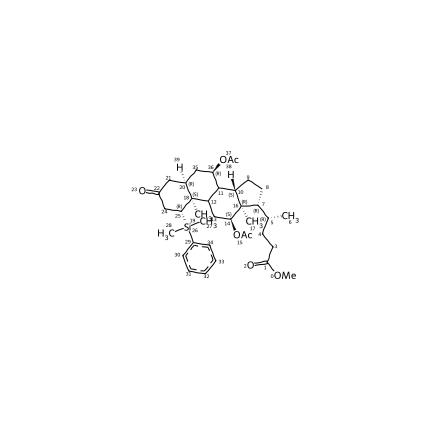 COC(=O)CC[C@@H](C)[C@H]1CC[C@H]2C3C(C[C@H](OC(C)=O)[C@]12C)[C@]1(C)[C@@H](CC(=O)C[C@H]1[Si](C)(C)c1ccccc1)C[C@H]3OC(C)=O